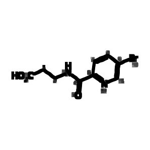 O=C(O)CCNC(=O)c1ccc(Br)cn1